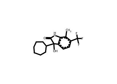 Cc1c(C(F)(F)F)ccc2c1NC(=O)C2(O)C1CCCCCC1